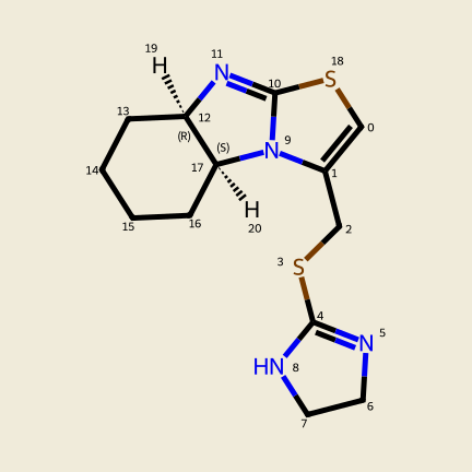 C1=C(CSC2=NCCN2)N2C(=N[C@@H]3CCCC[C@@H]32)S1